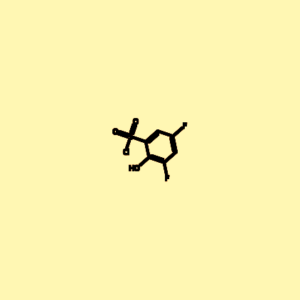 O=S(=O)(Cl)c1cc(F)cc(F)c1O